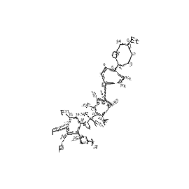 CCC1CCC(c2ccc(-c3cc(F)c(C(F)(F)Oc4cc(F)c(F)c(F)c4C)c(F)c3)cc2)OC1